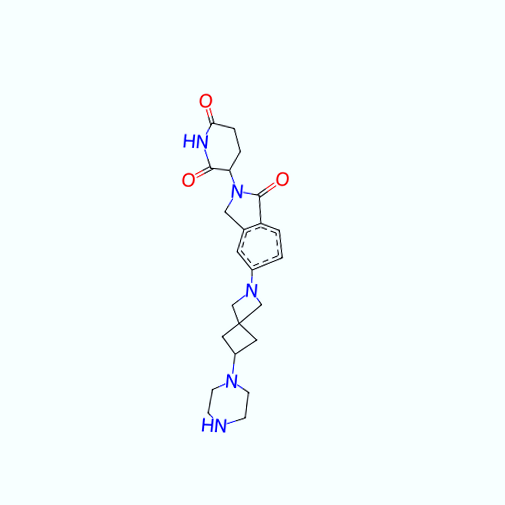 O=C1CCC(N2Cc3cc(N4CC5(CC(N6CCNCC6)C5)C4)ccc3C2=O)C(=O)N1